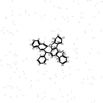 c1ccc(C(c2ccc3ccccc3c2)c2cc3c4ccccc4sc3c3c2oc2ccccc23)cc1